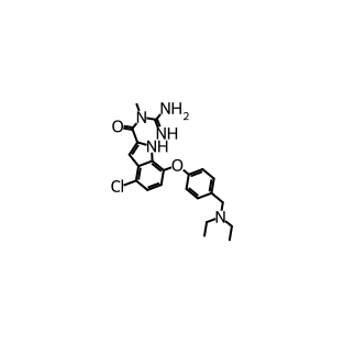 CCN(CC)Cc1ccc(Oc2ccc(Cl)c3cc(C(=O)N(C)C(=N)N)[nH]c23)cc1